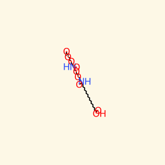 O=[C]COCCOCCNC(=O)COCCOCCNC(=O)CCCCCCCCCCCCCCCCC(=O)O